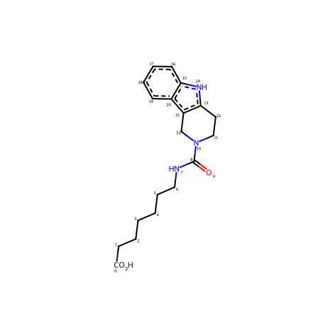 O=C(O)CCCCCCNC(=O)N1CCc2[nH]c3ccccc3c2C1